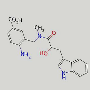 CN(Cc1cc(C(=O)O)ccc1N)C(=O)C(O)Cc1c[nH]c2ccccc12